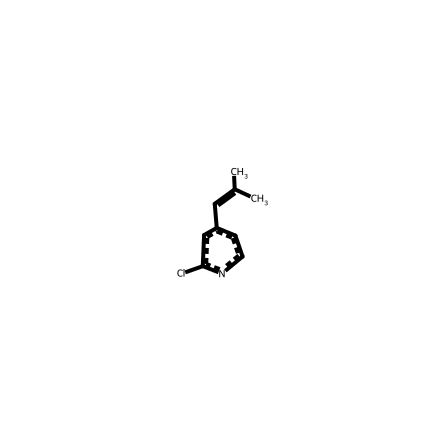 CC(C)=Cc1ccnc(Cl)c1